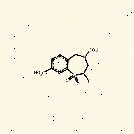 O=C(O)c1ccc2c(c1)S(=O)(=O)C(F)CN(C(=O)O)C2